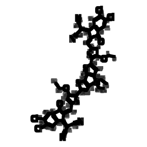 CCOc1cc(/C=C2\C(=O)c3cc(Cl)c(Cl)cc3C2=C(C#N)C#N)sc1-c1cc2c(s1)-c1sc(-c3sc(/C=C4\C(=O)c5cc(Cl)c(Cl)cc5C4=C(C#N)C#N)cc3OCC)cc1[Si]2(CC)CC